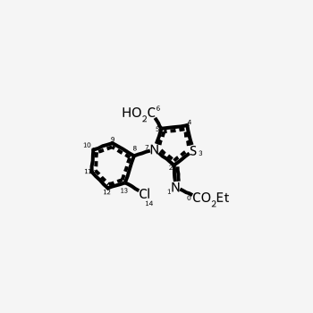 CCOC(=O)N=c1scc(C(=O)O)n1-c1ccccc1Cl